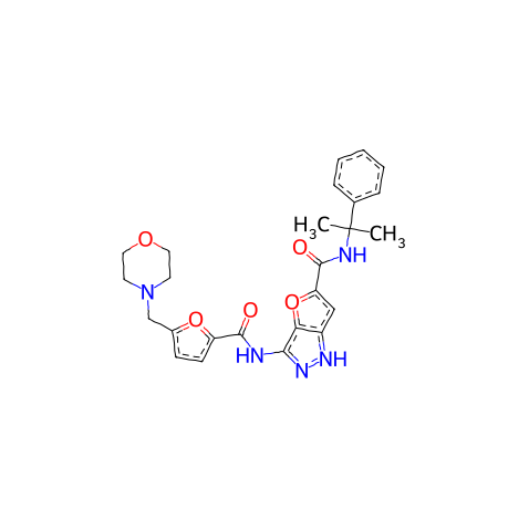 CC(C)(NC(=O)c1cc2[nH]nc(NC(=O)c3ccc(CN4CCOCC4)o3)c2o1)c1ccccc1